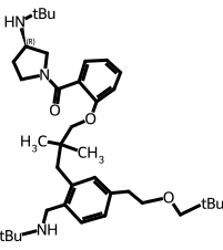 CC(C)(C)COCCc1ccc(CNC(C)(C)C)c(CC(C)(C)COc2ccccc2C(=O)N2CC[C@@H](NC(C)(C)C)C2)c1